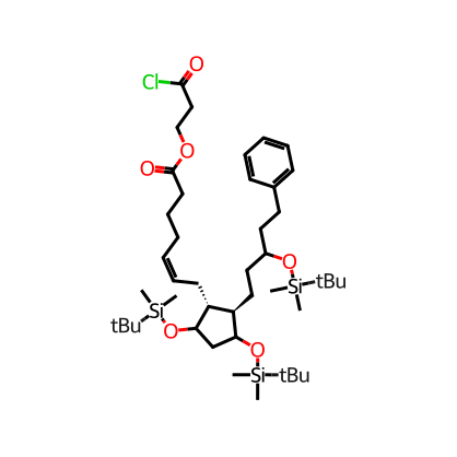 CC(C)(C)[Si](C)(C)OC(CCc1ccccc1)CC[C@H]1C(O[Si](C)(C)C(C)(C)C)CC(O[Si](C)(C)C(C)(C)C)[C@@H]1C/C=C\CCCC(=O)OCCC(=O)Cl